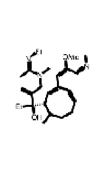 C=C(CN(C)/C(C)=N\CC)C(O)(CC)[C@@H]1/C=C(/C=C(\C=N/C)OC)C=CCCC1C